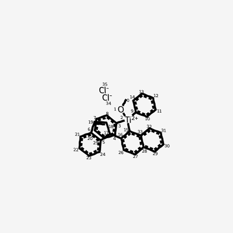 C[O][Ti+2]([c]1ccccc1)([c]1ccccc1)[c]1c(C2C=Cc3ccccc32)ccc2ccccc12.[Cl-].[Cl-]